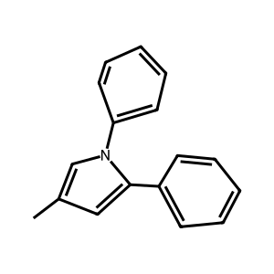 Cc1cc(-c2ccccc2)n(-c2ccccc2)c1